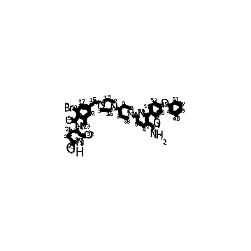 NC(=O)c1ccc(N2CCC(N3CCN(Cc4cc(Br)c5c(c4)CN(C4CCC(=O)NC4=O)C5=O)CC3)CC2)nc1-c1ccc(Oc2ccccc2)cc1